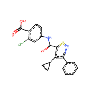 O=C(O)c1ccc(NC(=O)c2snc(-c3ccccc3)c2C2CC2)cc1Cl